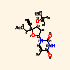 C#C[C@]1(COC(C)=O)O[C@H](n2cc(C)c(=O)[nH]c2=O)C[C@H]1O[Si](C)(C)C(C)(C)C